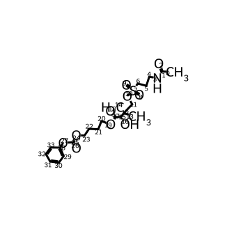 CC(=O)NCCCS(=O)(=O)OCC(C)(C)[C@@H](O)C(=O)OCCCCOC(=O)Oc1ccccc1